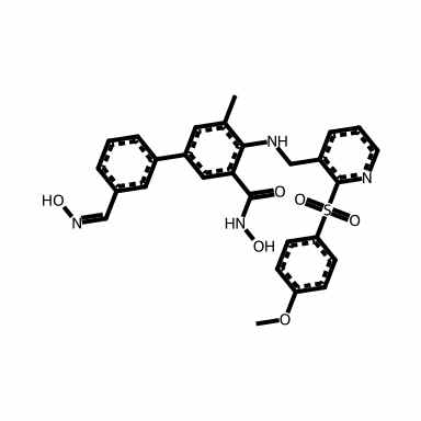 COc1ccc(S(=O)(=O)c2ncccc2CNc2c(C)cc(-c3cccc(/C=N\O)c3)cc2C(=O)NO)cc1